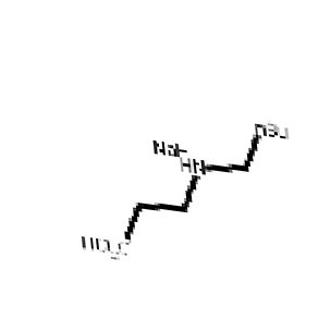 CCCCCNCCC(=O)O.[NaH]